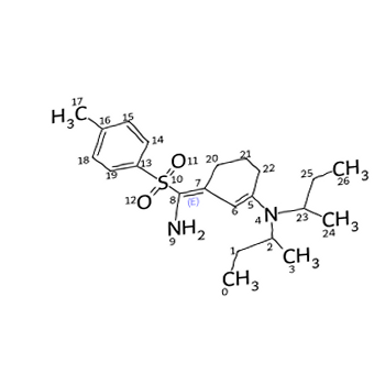 CCC(C)N(C1=C/C(=C(\N)S(=O)(=O)c2ccc(C)cc2)CCC1)C(C)CC